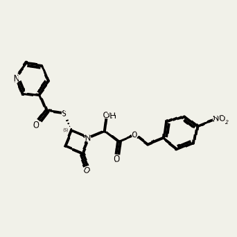 O=C(S[C@H]1CC(=O)N1C(O)C(=O)OCc1ccc([N+](=O)[O-])cc1)c1cccnc1